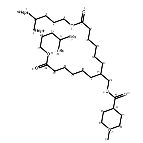 CCCCCCCC(CCCCCCC)CCCOC(=O)CCCCCC(CCCCCC(=O)OCCCC(CCCC)CCCC)COC(=O)C1CCN(C)CC1